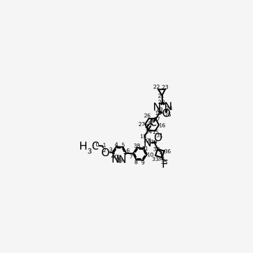 CCOc1ccc(-c2cccc(N(CC34CCC(c5nc(C6CC6)no5)(CC3)CC4)C(=O)C34CC(F)(C3)C4)c2)nn1